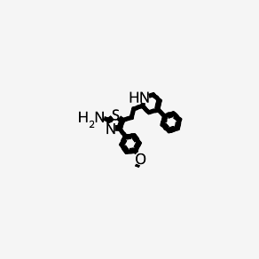 COc1ccc(-c2nc(N)sc2CCC2CC(c3ccccc3)=CCN2)cc1